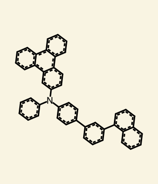 c1ccc(N(c2ccc(-c3cccc(-c4cccc5ccccc45)c3)cc2)c2ccc3c4ccccc4c4ccccc4c3c2)cc1